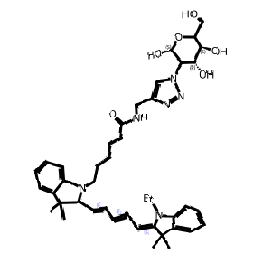 CCN1\C(=C/C=C/C=C/C2N(CCCCCC(=O)NCc3cn(C4[C@@H](O)[C@H](O)C(CO)O[C@@H]4O)nn3)c3ccccc3C2(C)C)C(C)(C)c2ccccc21